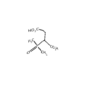 CP(C)(=O)C(CC(=O)O)C(=O)O